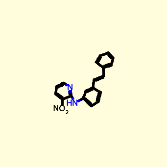 O=[N+]([O-])c1cccnc1Nc1cccc(/C=C/c2ccccc2)c1